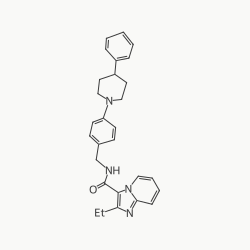 CCc1nc2ccccn2c1C(=O)NCc1ccc(N2CCC(c3ccccc3)CC2)cc1